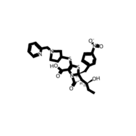 CC[C@H](O)[C@@H]1C(=O)N2C(C(=O)O)=C(SC3CCN(Cc4ccccn4)C3)S[C@]12Cc1ccc([N+](=O)[O-])cc1